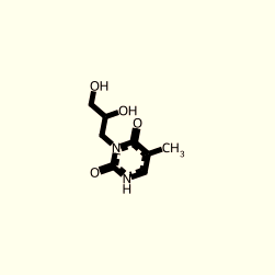 Cc1c[nH]c(=O)n(CC(O)CO)c1=O